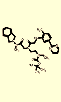 CCN(CCN(CC(=O)N(C)N1Cc2ccccc2C1)C(=O)CNc1cc(-c2ncccn2)ccc1C)C(=O)OC(C)(C)C